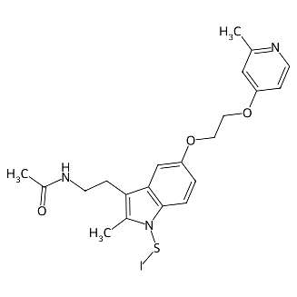 CC(=O)NCCc1c(C)n(SI)c2ccc(OCCOc3ccnc(C)c3)cc12